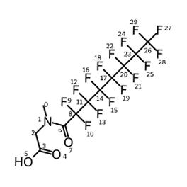 CN(CC(=O)O)C(=O)C(F)(F)C(F)(F)C(F)(F)C(F)(F)C(F)(F)C(F)(F)C(F)(F)F